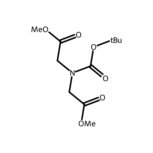 COC(=O)CN(CC(=O)OC)C(=O)OC(C)(C)C